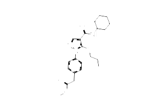 CCCSc1c(C(=O)NC2CCCCC2)cnn1-c1ccc(CC(=O)OC)cc1